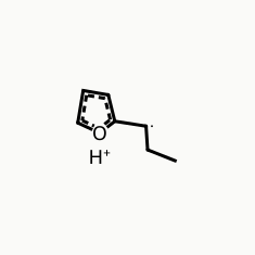 CC[CH]c1ccco1.[H+]